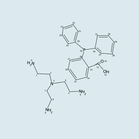 NCCN(CCN)CCN.O=C(O)c1ccccc1P(c1ccccc1)c1ccccc1